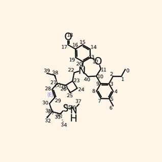 CCCc1cc(C)ccc1C1COc2ccc(C=O)cc2N(CC2CC[C@H]2[C@@H](/C=C/C[C@H](C)[C@@H](C)SNC)CC)C1